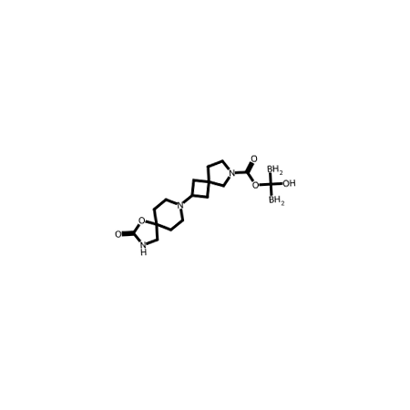 BC(B)(O)OC(=O)N1CCC2(CC(N3CCC4(CC3)CNC(=O)O4)C2)C1